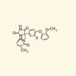 COc1ccccc1Oc1ccc(C2(Cn3cccc(C)c3=O)NC(=O)NC2=O)cc1F